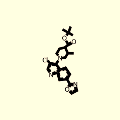 CC1CN(c2c(Cl)cnc3cc(-c4ncco4)ccc23)CCC1C(=O)OC(C)(C)C